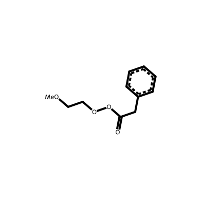 COCCOOC(=O)Cc1ccccc1